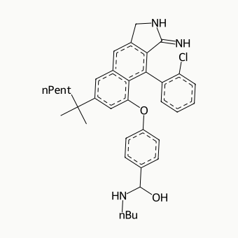 CCCCCC(C)(C)c1cc(Oc2ccc(C(O)NCCCC)cc2)c2c(-c3ccccc3Cl)c3c(cc2c1)CNC3=N